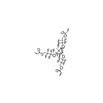 C=CC(=O)OCC(F)(F)C(F)(F)OC(F)(F)C(C)(C(F)(F)OC(F)(F)C(F)(F)COC(=O)C=C)C(F)(F)OC(F)(F)C(F)(F)COC(=O)C=C